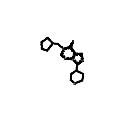 O=c1c2cnc(C3CCOCC3)n2ncn1CC1CCCC1